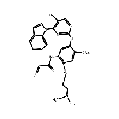 C=CC(=O)Nc1cc(Nc2ncc(Cl)c(-n3ccc4ccccc43)n2)c(OC)cc1NCCCN(C)C